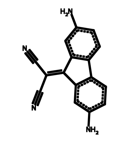 N#CC(C#N)=C1c2cc(N)ccc2-c2ccc(N)cc21